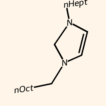 CCCCCCCCCN1C=CN(CCCCCCC)C1